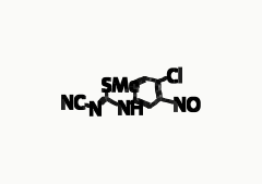 CS/C(=N\C#N)Nc1ccc(Cl)c(N=O)c1